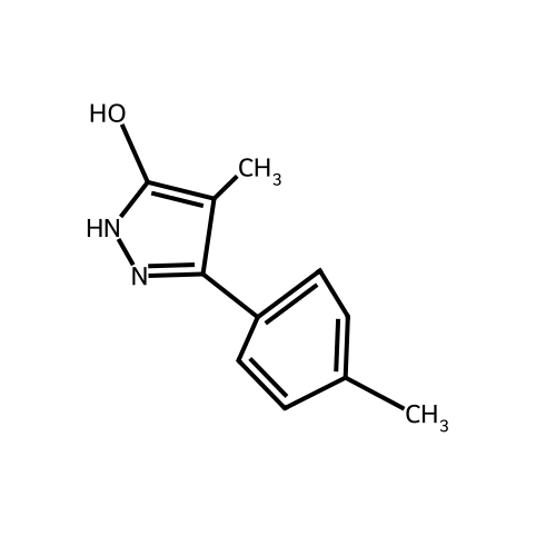 Cc1ccc(-c2n[nH]c(O)c2C)cc1